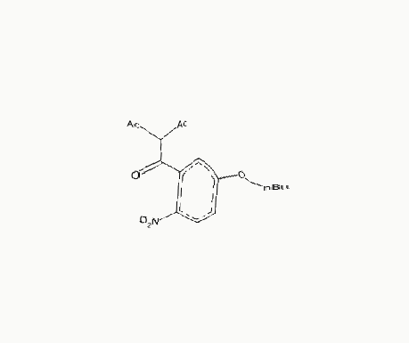 CCCCOc1ccc([N+](=O)[O-])c(C(=O)C(C(C)=O)C(C)=O)c1